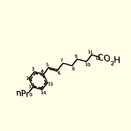 CCCc1ccc(/C=C/CCCCCC(=O)O)cc1